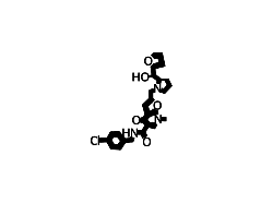 Cn1cc(C(=O)NCc2ccc(Cl)cc2)c(=O)c2cc(CN3CCC[C@@H]3[C@@H](O)c3ccco3)oc21